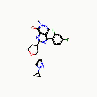 Cn1ncc2c(-c3ccc(F)cc3F)nc(C3CCO[C@@H](c4cnn(C5CC5)c4)C3)nc2c1=O